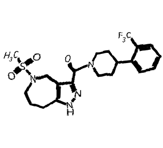 CS(=O)(=O)N1CCCc2[nH]nc(C(=O)N3CCC(c4ccccc4C(F)(F)F)CC3)c2C1